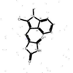 Cn1c(Cl)c(/C=C2/SC(=O)NC2=O)c2ccccc21